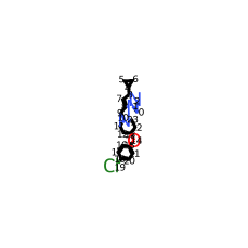 Cn1nc(C2CC2)cc1CN1CCC(Oc2ccc(Cl)cc2)CC1